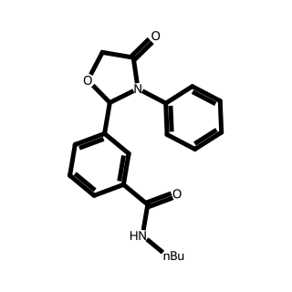 CCCCNC(=O)c1cccc(C2OCC(=O)N2c2ccccc2)c1